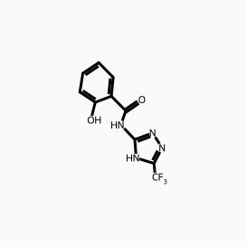 O=C(Nc1nnc(C(F)(F)F)[nH]1)c1ccccc1O